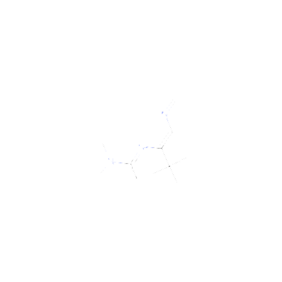 C=N/C=C(\N=C(/C)N(C)C)C(C)(C)C